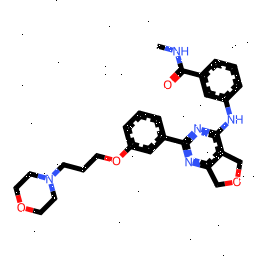 CNC(=O)c1cccc(Nc2nc(-c3cccc(OCCCN4CCOCC4)c3)nc3c2COC3)c1